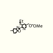 CCSc1cc(COCOC)cnc1-c1nc2cc(C)ccc2o1